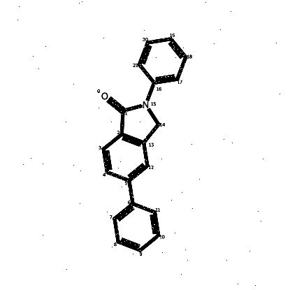 O=C1c2ccc(-c3ccccc3)cc2CN1c1ccccc1